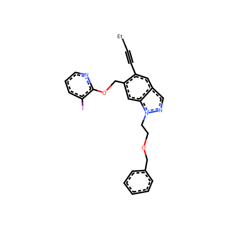 CCC#Cc1cc2cnn(CCOCc3ccccc3)c2cc1COc1ncccc1I